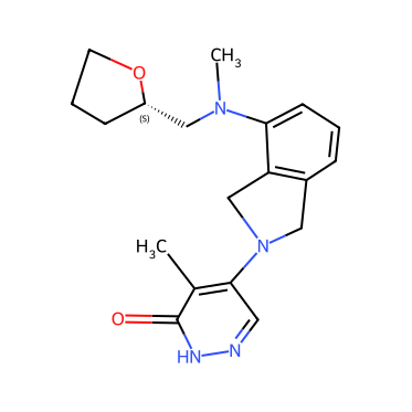 Cc1c(N2Cc3cccc(N(C)C[C@@H]4CCCO4)c3C2)cn[nH]c1=O